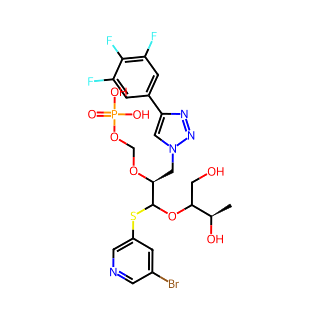 C[C@@H](O)C(CO)OC(Sc1cncc(Br)c1)[C@H](Cn1cc(-c2cc(F)c(F)c(F)c2)nn1)OCOP(=O)(O)O